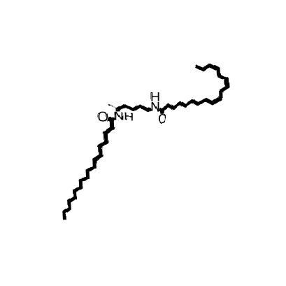 CC/C=C\C/C=C\C/C=C\CCCCCCCC(=O)NCCCC[C@@H](C)NC(=O)CCCCCCCCCCCCCCCCC